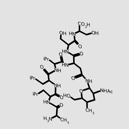 CC(=O)NC1CC(C)C(CO)OC1NC(=O)CC(NC(=O)C(NC(=O)C(CC(C)C)NC(=O)C(CC(C)C)NC(=O)C(C)N)C(C)C)C(=O)NC(CO)C(=O)NC(CO)C(=O)O